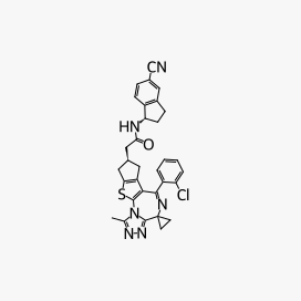 Cc1nnc2n1-c1sc3c(c1C(c1ccccc1Cl)=NC21CC1)C[C@H](CC(=O)N[C@@H]1CCc2cc(C#N)ccc21)C3